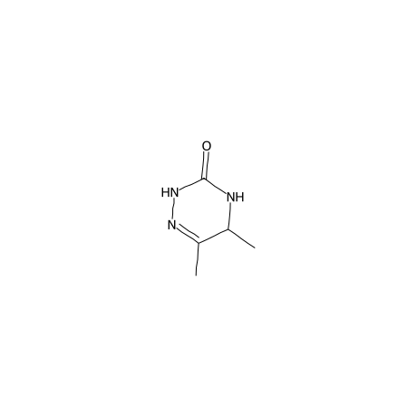 CC1=NNC(=O)NC1C